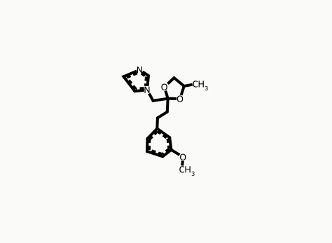 COc1cccc(CCC2(Cn3ccnc3)OCC(C)O2)c1